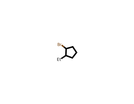 CCC1CCCC1Br